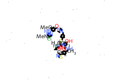 CNc1nc(Nc2ccc(C(=O)N3CCN(Cc4ccc(CSC(C)(C)C(NC(=O)C5(F)CC5)C(=O)N5C[C@H](O)C[C@H]5C(=O)NC(C)c5ccc(-c6scnc6C)cc5)cc4)CC3)cc2OC)ncc1Cl